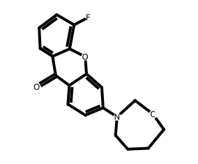 O=c1c2ccc(N3CCCCCC3)cc2oc2c(F)cccc12